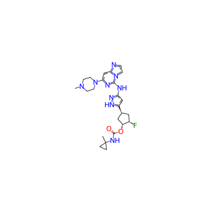 CN1CCN(c2cc3nccn3c(Nc3cc([C@H]4C[C@@H](F)[C@@H](OC(=O)NC5(C)CC5)C4)[nH]n3)n2)CC1